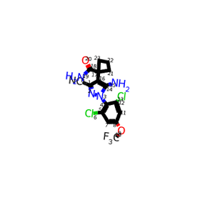 N#Cc1nn(-c2c(Cl)cc(OC(F)(F)F)cc2Cl)c(N)c1C1(C(N)=O)CCC1